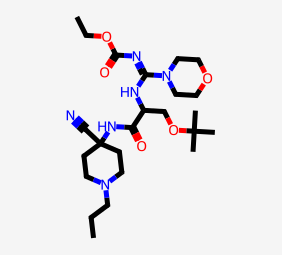 CCCN1CCC(C#N)(NC(=O)C(COC(C)(C)C)N/C(=N\C(=O)OCC)N2CCOCC2)CC1